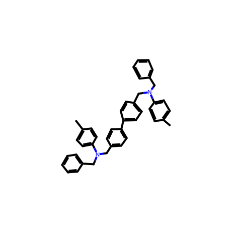 Cc1ccc(N(Cc2ccccc2)Cc2ccc(-c3ccc(CN(Cc4ccccc4)c4ccc(C)cc4)cc3)cc2)cc1